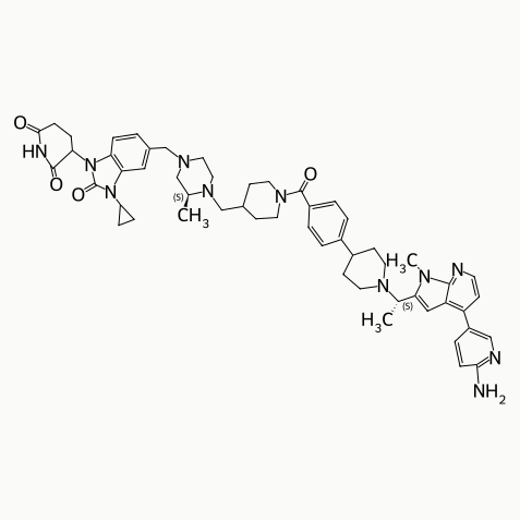 C[C@H]1CN(Cc2ccc3c(c2)n(C2CC2)c(=O)n3C2CCC(=O)NC2=O)CCN1CC1CCN(C(=O)c2ccc(C3CCN([C@@H](C)c4cc5c(-c6ccc(N)nc6)ccnc5n4C)CC3)cc2)CC1